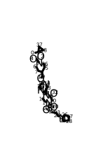 CC1(OC(=O)N2CCC(COc3cnc(N4CCN(S(=O)(=O)CCCN5CCCC5)CC4=O)cn3)CC2)CC1